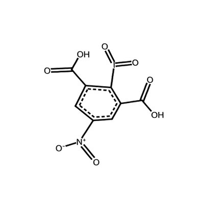 O=C(O)c1cc([N+](=O)[O-])cc(C(=O)O)c1I(=O)=O